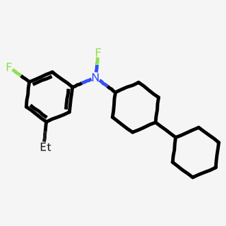 CCc1cc(F)cc(N(F)C2CCC(C3CCCCC3)CC2)c1